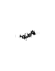 CC(C)(C)c1ccc(C(=O)NCc2ncc(-c3ncnc4[nH]ccc34)cc2Cl)nc1